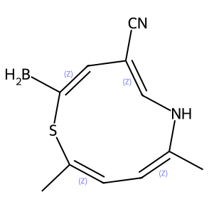 B/C1=C/C(C#N)=C/N/C(C)=C\C=C(\C)S1